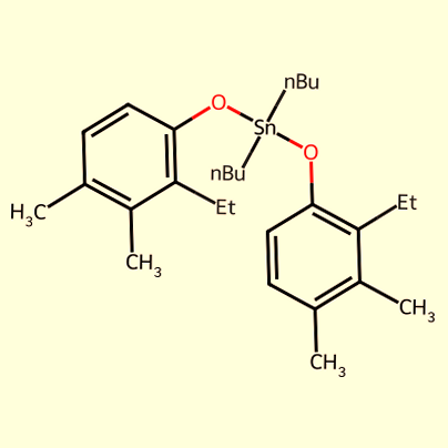 CCC[CH2][Sn]([CH2]CCC)([O]c1ccc(C)c(C)c1CC)[O]c1ccc(C)c(C)c1CC